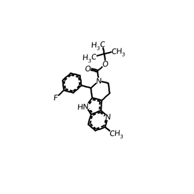 Cc1ccc2[nH]c3c(c2n1)CCN(C(=O)OC(C)(C)C)C3c1cccc(F)c1